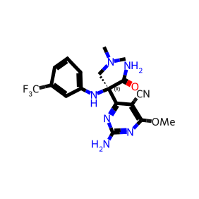 COc1nc(N)nc([C@@](CN(C)C)(Nc2cccc(C(F)(F)F)c2)C(N)=O)c1C#N